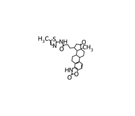 Cc1cnc(NC(=O)CCC2CC(=O)C3(C)CCC4c5ccc6oc(=O)[nH]c6c5CCC4C23)s1